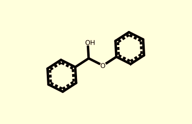 OC(Oc1[c]cccc1)c1ccccc1